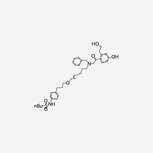 CCCCS(=O)(=O)Nc1ccc(CCCOCCCCCCN(CC(=O)c2ccc(O)cc2CCO)Cc2ccccc2)cc1